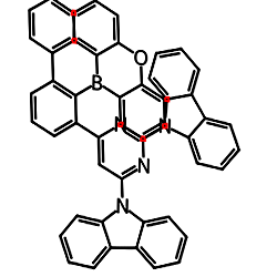 c1ccc(-c2cccc(-c3cc(-n4c5ccccc5c5ccccc54)nc(-n4c5ccccc5c5ccccc54)n3)c2B2c3ccccc3Oc3ccccc32)cc1